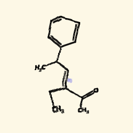 CC/C(=C\C(C)c1ccccc1)C(C)=O